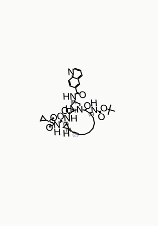 CC(C)(C)OC(=O)N[C@H]1CCCCC/C=C\[C@@H]2C[C@@]2(C(=O)NS(=O)(=O)C2CC2)NC(=O)[C@@H]2C[C@@H](NC(=O)c3ccc4ncccc4c3)CN2C1=O